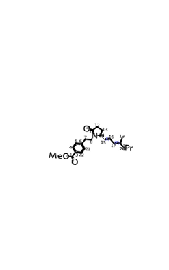 COC(=O)c1ccc(CCN2C(=O)CC[C@@H]2/C=C/C=C(\C)C(C)C)cc1